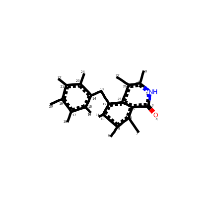 Cc1[nH]c(=O)c2c(C)c(C)c(C)c(Cc3c(C)c(C)c(C)c(C)c3C)c2c1C